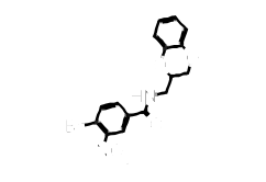 O=C(NCC1COc2ccccc2O1)c1ccc(Br)c([N+](=O)[O-])c1